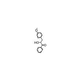 COc1ccc(CC(O)C(=O)c2ccccc2)cc1